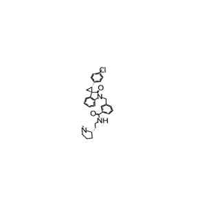 CN1CCC[C@H]1CCNC(=O)c1cccc(CN2C(=O)[C@]3(C[C@@H]3c3ccc(Cl)cc3)c3ccccc32)c1